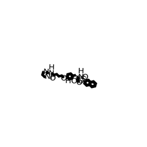 O=C(CCCOc1ccc(C[C@H](NS(=O)(=O)c2ccc3ccccc3c2)C(=O)O)cc1)NC1=NCCCN1